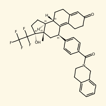 C[C@]12C[C@H](c3ccc(C(=O)N4CCc5ccccc5C4)cc3)C3=C4CCC(=O)C=C4CC[C@H]3[C@@H]1CC[C@]2(O)C(F)(F)C(F)(F)F